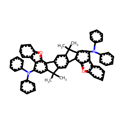 CC1(C)c2cc3c(cc2-c2c1cc(N(c1ccccc1)c1ccccc1)c1c2oc2ccccc21)C(C)(C)c1cc(N(c2ccccc2)c2ccccc2)c2c(oc4ccccc42)c1-3